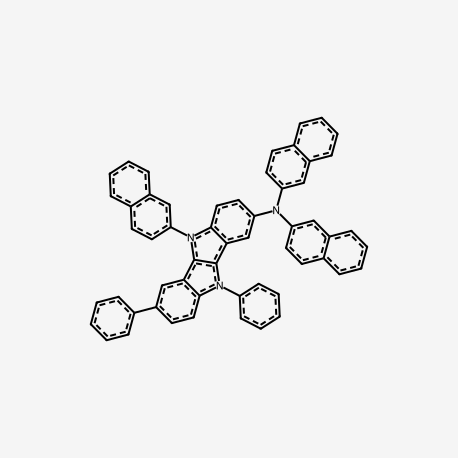 c1ccc(-c2ccc3c(c2)c2c(c4cc(N(c5ccc6ccccc6c5)c5ccc6ccccc6c5)ccc4n2-c2ccc4ccccc4c2)n3-c2ccccc2)cc1